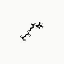 C=C(C(O)OC(C)CCCOC(=O)CCC(=O)O)C(F)(F)F